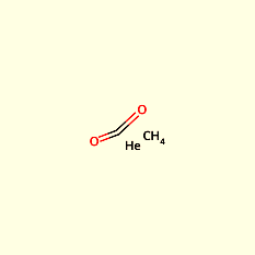 C.O=C=O.[He]